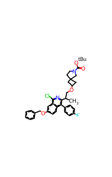 CC(COC1CC2(CCN(C(=O)OC(C)(C)C)C2)C1)c1nc(Cl)c2cc(OCc3ccccc3)ccc2c1-c1ccc(F)cc1